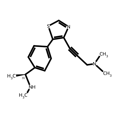 CN[C@@H](C)c1ccc(-c2scnc2C#CCN(C)C)cc1